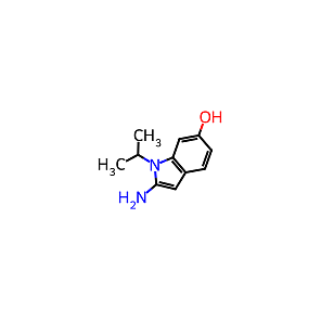 CC(C)n1c(N)cc2ccc(O)cc21